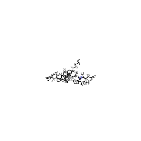 C=CCCC[C@@H]1C[C@@H](/C(C(=O)O)=C(\C)CCC=C)C[C@](OC)([C@@H]2CSC(=O)N2Cc2ccc(OC)cc2)O1